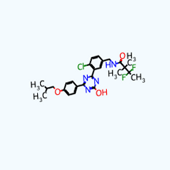 CC(C)COc1ccc(-c2nc(O)nc(-c3cc(CNC(=O)C(C)(C)C(C)(F)F)ccc3Cl)n2)cc1